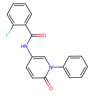 O=C(Nc1ccc(=O)n(-c2ccccc2)c1)c1ccccc1F